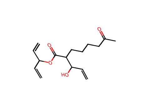 C=CC(C=C)OC(=O)C(CCCCC(C)=O)C(O)C=C